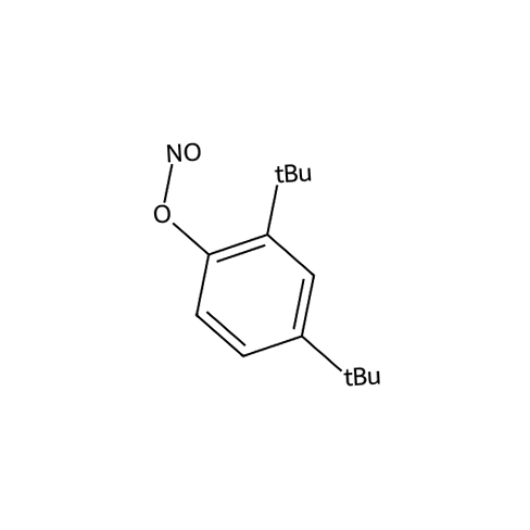 CC(C)(C)c1ccc(ON=O)c(C(C)(C)C)c1